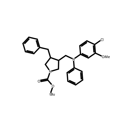 COc1cc(N(CC2CN(C(=O)OC(C)(C)C)CC2Cc2ccccc2)c2ccccc2)ccc1Cl